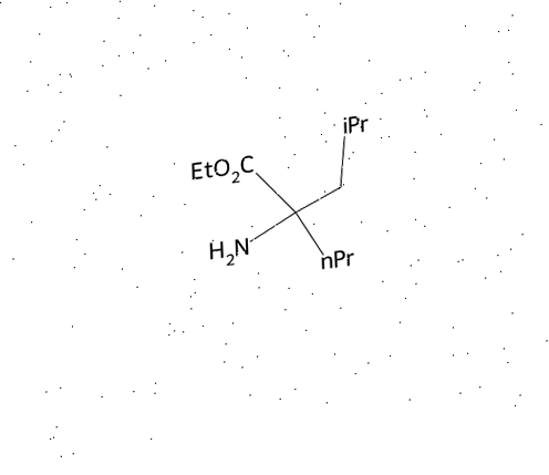 CCCC(N)(CC(C)C)C(=O)OCC